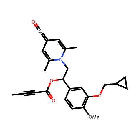 CC#CC(=O)OC(CN1C(C)=CC(=C=O)C=C1C)c1ccc(OC)c(OCC2CC2)c1